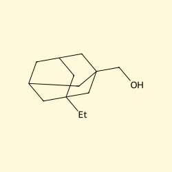 CCC12CC3CC(C1)CC(CO)(C3)C2